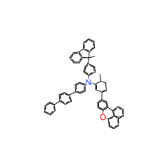 CC1CC=C(c2ccc3c(c2)-c2cccc4cccc(c24)O3)C=C1N(c1ccc(-c2ccc(-c3ccccc3)cc2)cc1)c1ccc(C2(C)c3ccccc3-c3ccccc32)cc1